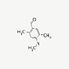 C=Nc1cc(C)c(C=O)cc1C